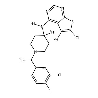 [2H]c1c(Cl)sc2ncnc(N([2H])C3([2H])CCN(C([2H])c4ccc(F)c(Cl)c4)CC3)c12